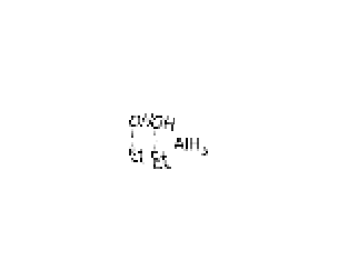 CCO.CCO.[AlH3]